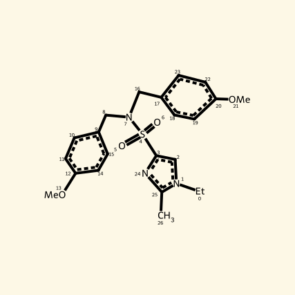 CCn1cc(S(=O)(=O)N(Cc2ccc(OC)cc2)Cc2ccc(OC)cc2)nc1C